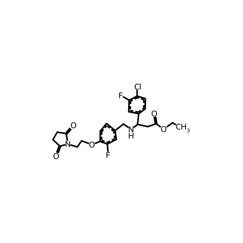 CCOC(=O)CC(NCc1ccc(OCCN2C(=O)CCC2=O)c(F)c1)c1ccc(Cl)c(F)c1